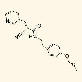 COCOc1ccc(CCNC(=O)C(C#N)=Cc2cccnc2)cc1